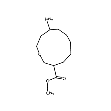 COC(=O)C1CCCCCC(N)CCCC1